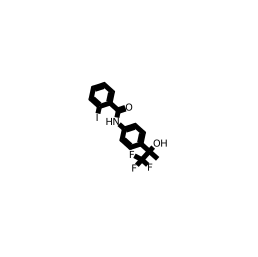 CC(O)(c1ccc(NC(=O)c2ccccc2I)cc1)C(F)(F)F